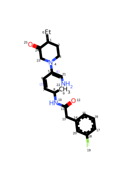 CCC1CCN(C(/C=C\C(C)NC(=O)Cc2cccc(F)c2)=C/N)CC1=O